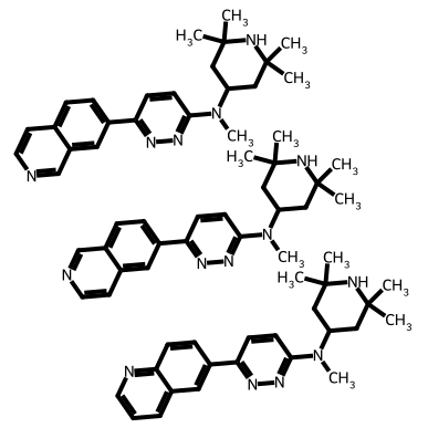 CN(c1ccc(-c2ccc3ccncc3c2)nn1)C1CC(C)(C)NC(C)(C)C1.CN(c1ccc(-c2ccc3cnccc3c2)nn1)C1CC(C)(C)NC(C)(C)C1.CN(c1ccc(-c2ccc3ncccc3c2)nn1)C1CC(C)(C)NC(C)(C)C1